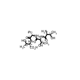 CC(C)[C@H](NC(=O)[C@@H](NC(=O)[C@@H](N)[C@@H](C)O)[C@@H](C)O)C(=O)N[C@H](C(=O)O)[C@@H](C)O